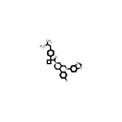 CC(C)Cc1ccc(C2(C(=O)N3CCC(c4ccc(F)cc4)C(COc4ccc5c(c4)OCO5)C3)CCC2)cc1